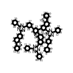 c1ccc(-c2ccc(-c3nc(-c4ccccc4)nc(-c4cc(-c5cc(-c6cccc(-c7nc(-c8ccccc8)nc(-c8ccc9c(ccc%10c%11ccccc%11sc9%10)c8)n7)c6)cc6sc7c8cc(-c9nc(-c%10ccccc%10)nc(-c%10ccccc%10)n9)ccc8ccc7c56)cc5c4ccc4c6ccccc6sc54)n3)cc2)cc1